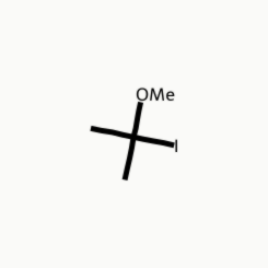 COC(C)(C)I